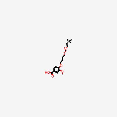 COc1cc(C(=O)O)ccc1OCCCCOCOCC[Si](C)(C)C